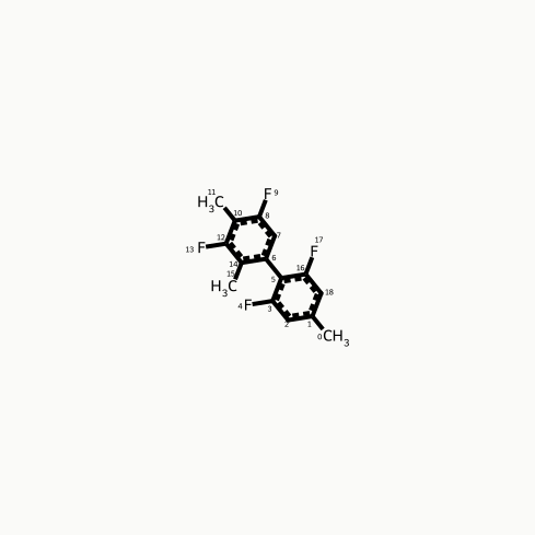 Cc1cc(F)c(-c2cc(F)c(C)c(F)c2C)c(F)c1